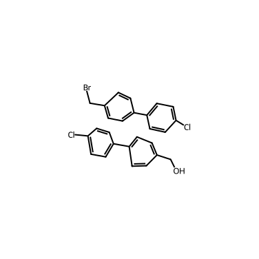 Clc1ccc(-c2ccc(CBr)cc2)cc1.OCc1ccc(-c2ccc(Cl)cc2)cc1